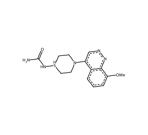 COc1cccc2c(N3CC[SH](NC(N)=O)CC3)cnnc12